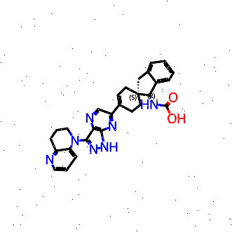 O=C(O)N[C@H]1c2ccccc2C[C@]12CC=C(c1cnc3c(N4CCCc5ncccc54)n[nH]c3n1)CC2